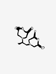 CC(CN1CC(=O)OC(=O)C1)N1CC(=O)OC(=O)C1